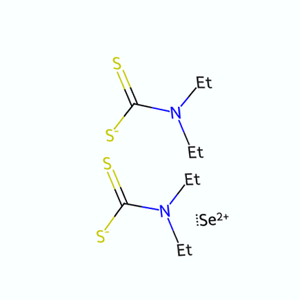 CCN(CC)C(=S)[S-].CCN(CC)C(=S)[S-].[Se+2]